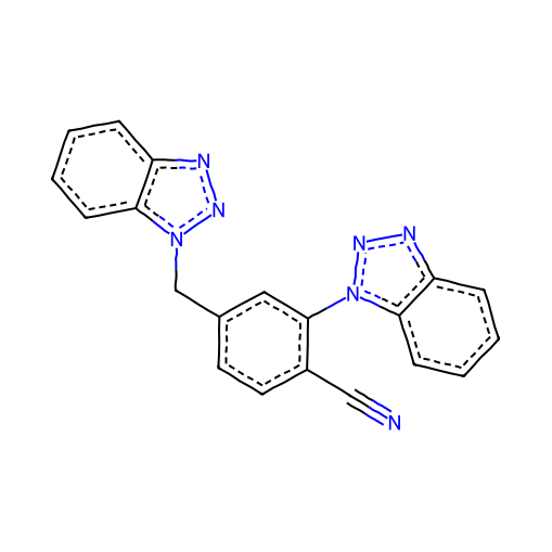 N#Cc1ccc(Cn2nnc3ccccc32)cc1-n1nnc2ccccc21